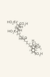 CC1=[N+](CCCCCC(=O)NCCCC[C@H](NC(=O)N[C@@H](CCC(=O)O)C(=O)O)C(=O)O)c2ccc(S(=O)(=O)O)cc2C1(C)C